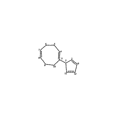 C1=CC(C2=CCCC=CCC2)C=C1